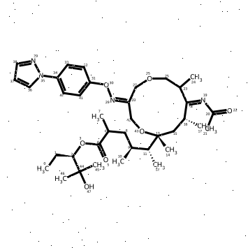 CC[C@@H](OC(=O)C(C)C[C@H](C)[C@@H](C)[C@@]1(C)C[C@@H](C)/C(=N\C(C)=O)C(C)COC/C(=N\Oc2ccc(-n3cccn3)cc2)CO1)C(C)(C)O